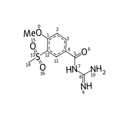 COc1ccc(C(=O)NC(=N)N)cc1S(C)(=O)=O